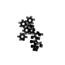 CON=C(C(=O)NC1C(=O)N(S(=O)(=O)O)C1CCl)c1csc(NC(c2ccccc2)(c2ccccc2)c2ccccc2)n1.c1ccncc1